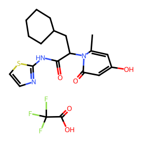 Cc1cc(O)cc(=O)n1C(CC1CCCCC1)C(=O)Nc1nccs1.O=C(O)C(F)(F)F